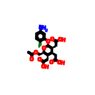 CC(=O)OC[C@@H]1O[C@@H](Oc2cc(N)ccc2F)[C@H](CC(=O)O)[C@@H](CC(=O)O)[C@@H]1CC(=O)O